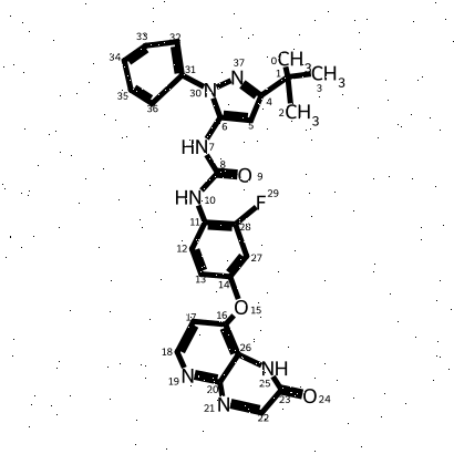 CC(C)(C)c1cc(NC(=O)Nc2ccc(Oc3ccnc4ncc(=O)[nH]c34)cc2F)n(-c2ccccc2)n1